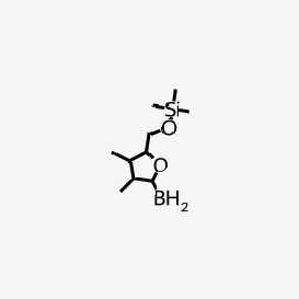 BC1OC(CO[Si](C)(C)C)C(C)C1C